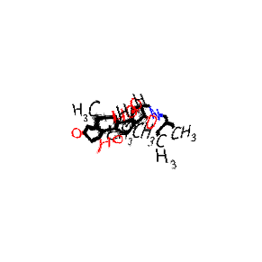 CCC(CC)CN1C[C@@H]2C[C@@]3(C)[C@@H]4C[C@H](C)C5=CC(=O)C=C[C@]5(C)C4[C@@H](O)C[C@]3(C)[C@]2(C(=O)O)O1